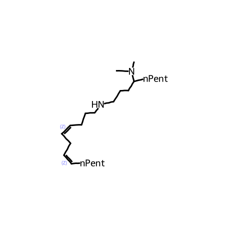 CCCCC/C=C\C/C=C\CCCNCCCC(CCCCC)N(C)C